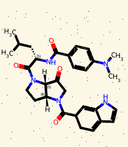 CC(C)C[C@H](NC(=O)c1ccc(N(C)C)cc1)C(=O)N1CC[C@@H]2[C@H]1C(=O)CN2C(=O)C1C=c2[nH]ccc2=CC1